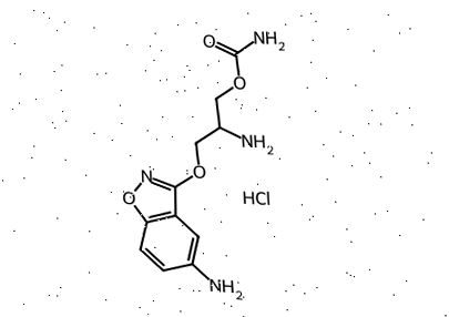 Cl.NC(=O)OCC(N)COc1noc2ccc(N)cc12